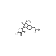 CCC(=O)Cc1ccc2c(c1)n(C)c(=O)n2C1CCC(=O)NC1=O